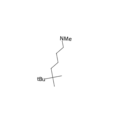 CNCCCCC(C)(C)C(C)(C)C